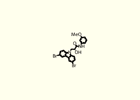 COc1cccc(NC(=O)[C@H](O)Cn2c3ccc(Br)cc3c3cc(Br)ccc32)c1